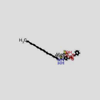 CC#CC#CC#CC#CC#CC#CC#CC#CC#CC#CNC(=S)N[C@@H]1C[C@H](COC(=O)OCc2ccccc2)C(OP(O)(=S)OC)[C@@H]1OC